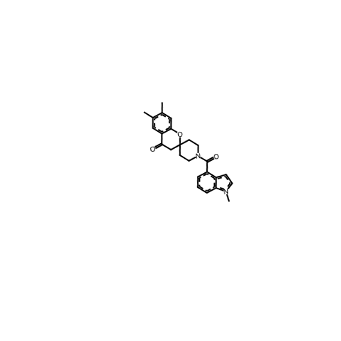 Cc1cc2c(cc1C)C(=O)CC1(CCN(C(=O)c3cccc4c3ccn4C)CC1)O2